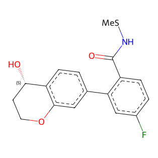 CSNC(=O)c1ccc(F)cc1-c1ccc2c(c1)OCC[C@@H]2O